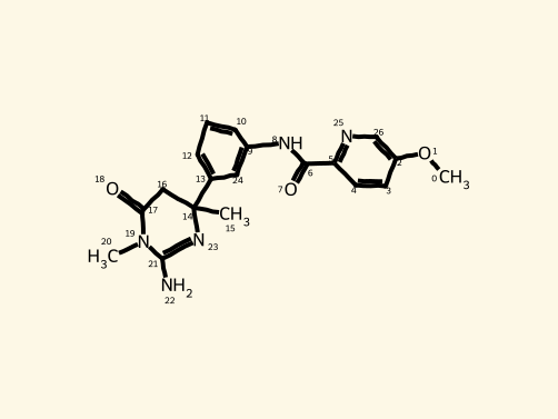 COc1ccc(C(=O)Nc2cccc(C3(C)CC(=O)N(C)C(N)=N3)c2)nc1